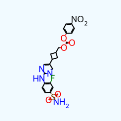 NS(=O)(=O)c1ccc(Nc2ncc(C3CC(COC(=O)Oc4ccc([N+](=O)[O-])cc4)C3)cn2)c(F)c1